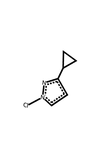 Cln1ccc(C2CC2)n1